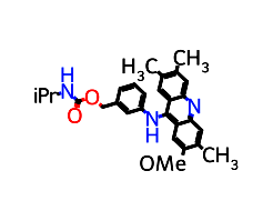 COc1cc2c(Nc3cccc(COC(=O)NC(C)C)c3)c3cc(C)c(C)cc3nc2cc1C